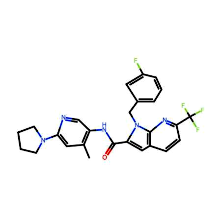 Cc1cc(N2CCCC2)ncc1NC(=O)c1cc2ccc(C(F)(F)F)nc2n1Cc1cccc(F)c1